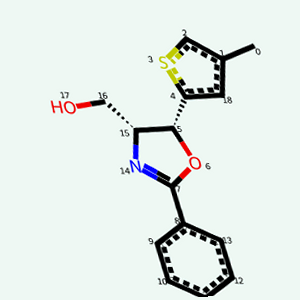 Cc1csc([C@@H]2OC(c3ccccc3)=N[C@@H]2CO)c1